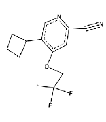 N#Cc1cc(OCC(F)(F)F)c(C2CCC2)cn1